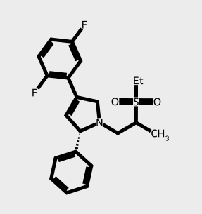 CCS(=O)(=O)C(C)CN1CC(c2cc(F)ccc2F)=C[C@H]1c1ccccc1